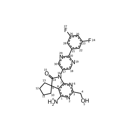 Nc1nc(CO)nc2c1C1(CCCC1)C(=O)N2c1cnc(-c2cc(F)cc(F)c2)nc1